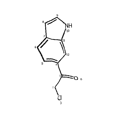 O=C(CCl)c1ccc2[c]c[nH]c2c1